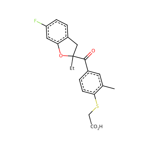 CCC1(C(=O)c2ccc(SCC(=O)O)c(C)c2)Cc2ccc(F)cc2O1